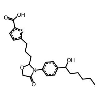 CCCCCC(O)c1ccc(N2C(=O)COC2CCCc2ccc(C(=O)O)s2)cc1